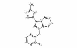 Cc1n[nH]c(-c2nc(Cc3ccccc3F)n3ccccc23)n1